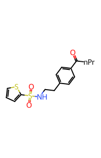 CCCC(=O)c1ccc(CCNS(=O)(=O)c2cccs2)cc1